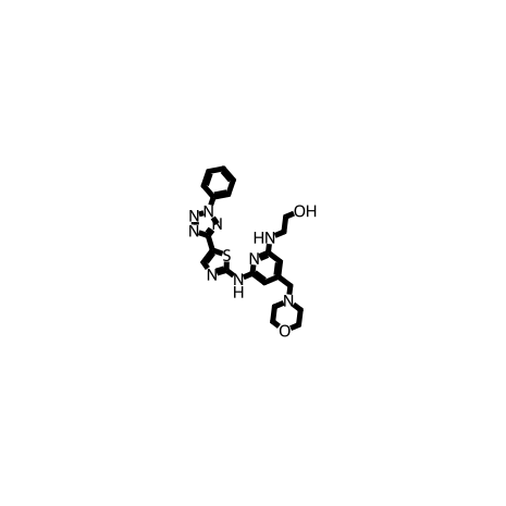 OCCNc1cc(CN2CCOCC2)cc(Nc2ncc(-c3nnn(-c4ccccc4)n3)s2)n1